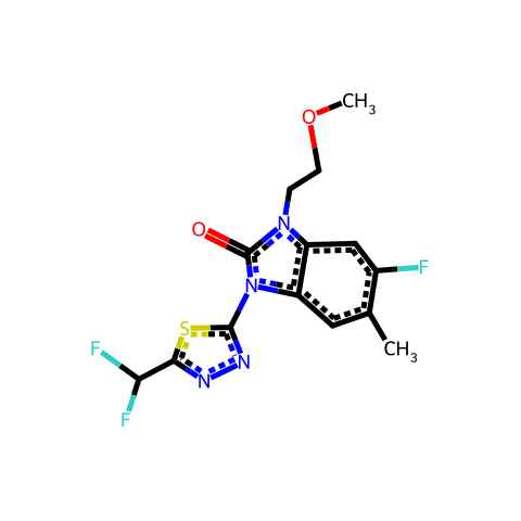 COCCn1c(=O)n(-c2nnc(C(F)F)s2)c2cc(C)c(F)cc21